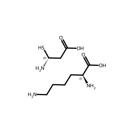 NCCCC[C@H](N)C(=O)O.N[C@H](S)CC(=O)O